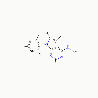 CCCNc1nc(C)nc2c1c(C)c(CC)n2-c1c(C)cc(C)cc1C